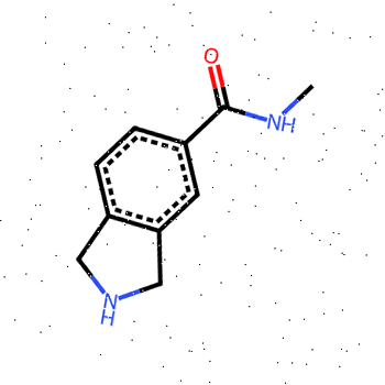 CNC(=O)c1ccc2c(c1)CNC2